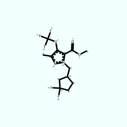 COC(=O)c1c(OC(F)(F)F)c(C)nn1CC1CCC(F)(F)C1